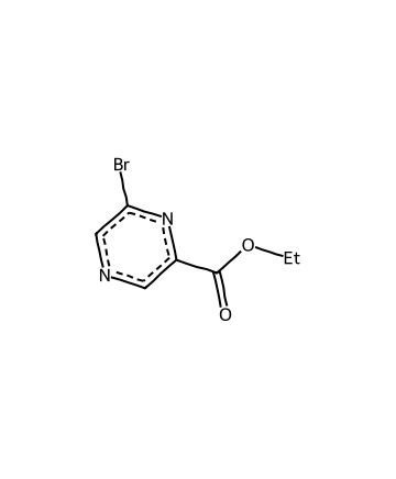 CCOC(=O)c1cncc(Br)n1